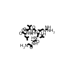 CC(C)C[C@H](NC(=O)[C@@H](NC(=O)[C@H](CCCNC(=N)N)NC(=O)[C@H](CC(C)C)NC(=O)[C@H](C)NC(=O)CN)C(C)C)C(=O)O